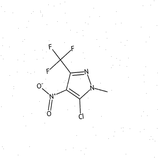 Cn1nc(C(F)(F)F)c([N+](=O)[O-])c1Cl